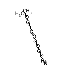 CC(C)CCOCCOCCCCCOCCOCCOCCOCCOCCOCCN=[N+]=[N-]